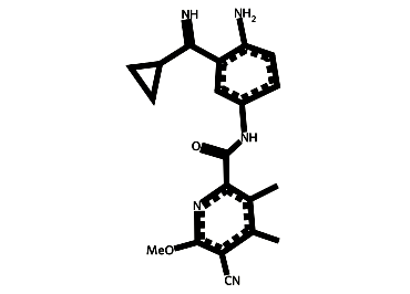 COc1nc(C(=O)Nc2ccc(N)c(C(=N)C3CC3)c2)c(C)c(C)c1C#N